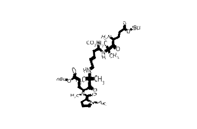 CCCCOC(=O)CCC(C(=O)C(C)(C)NCCCCC(NC(C)(C)C(=O)C(N)CCC(=O)OC(C)(C)C)C(=O)O)N(C)C(=O)C1CCCN1C(C)=O